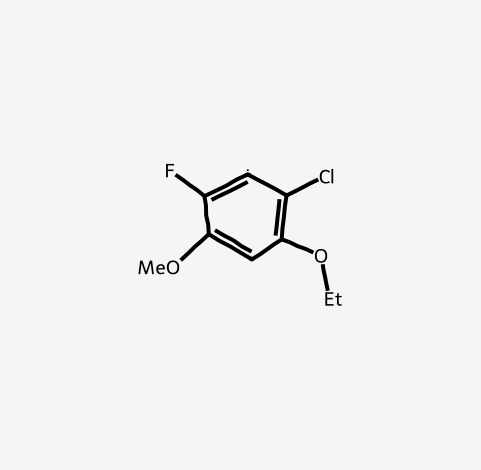 CCOc1cc(OC)c(F)[c]c1Cl